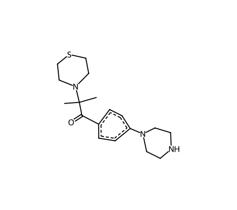 CC(C)(C(=O)c1ccc(N2CCNCC2)cc1)N1CCSCC1